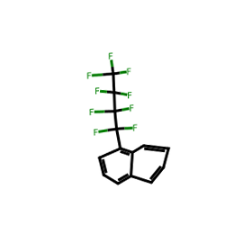 FC(F)(F)C(F)(F)C(F)(F)C(F)(F)c1cccc2ccc[c]c12